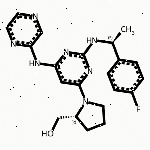 C[C@H](Nc1nc(Nc2cnccn2)cc(N2CCC[C@@H]2CO)n1)c1ccc(F)cc1